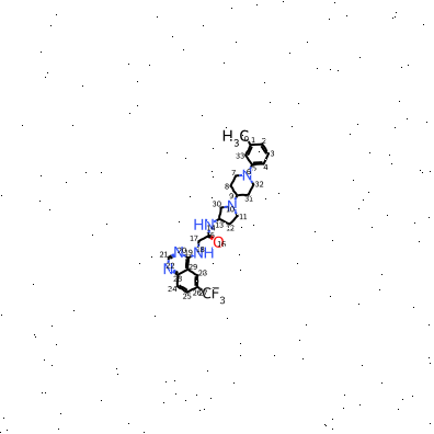 Cc1cccc(N2CCC(N3CCC(NC(=O)CNc4ncnc5ccc(C(F)(F)F)cc45)C3)CC2)c1